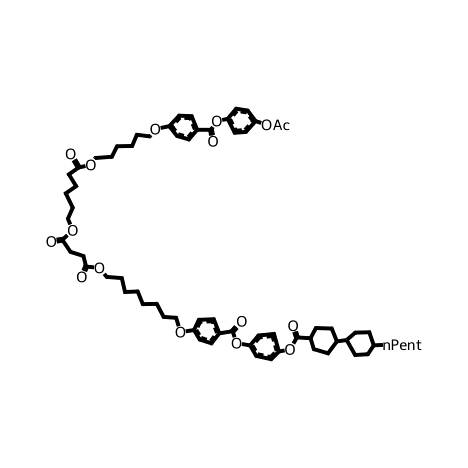 CCCCCC1CCC(C2CCC(C(=O)Oc3ccc(OC(=O)c4ccc(OCCCCCCCCOC(=O)CCC(=O)OCCCCCC(=O)OCCCCCCOc5ccc(C(=O)Oc6ccc(OC(C)=O)cc6)cc5)cc4)cc3)CC2)CC1